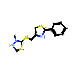 CN1NCSC1SCC1CSC(c2ccccc2)N1